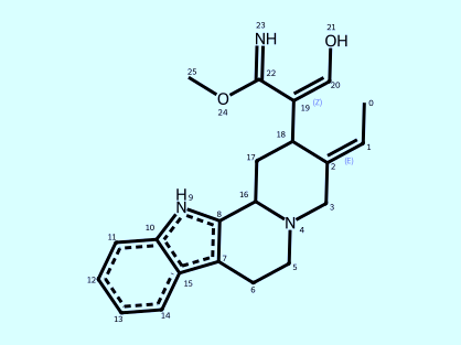 C/C=C1/CN2CCc3c([nH]c4ccccc34)C2CC1/C(=C/O)C(=N)OC